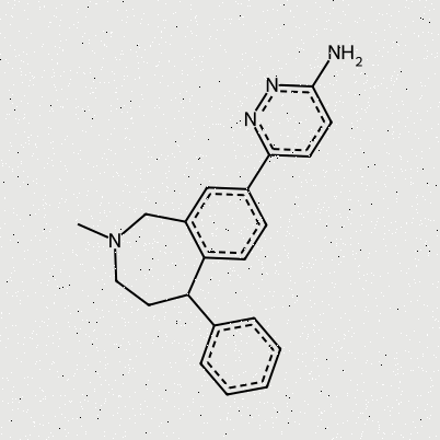 CN1CCC(c2ccccc2)c2ccc(-c3ccc(N)nn3)cc2C1